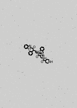 N#Cc1ccccc1CS(=O)(=O)C(CNC(=O)C1CCNCC1)C(=O)NCCC(C(=O)c1nc2ccccc2o1)c1ccccc1